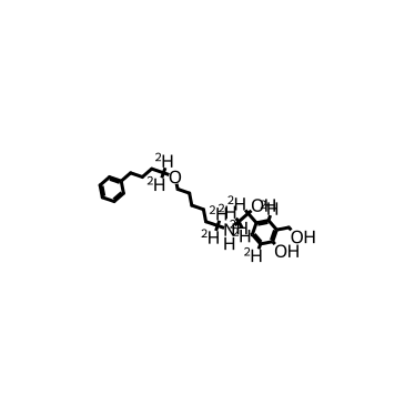 [2H]c1c([2H])c(C([2H])(O)C([2H])([2H])NC([2H])([2H])CCCCCOC([2H])([2H])CCCc2ccccc2)c([2H])c(CO)c1O